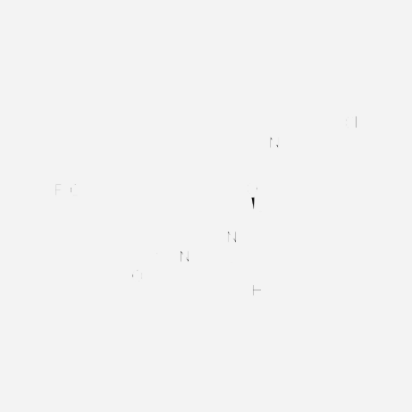 O=C(c1cccc(C(F)(F)F)c1)N1CC[C@@H]2CC[C@H](Oc3ccc(Cl)cn3)N2C1